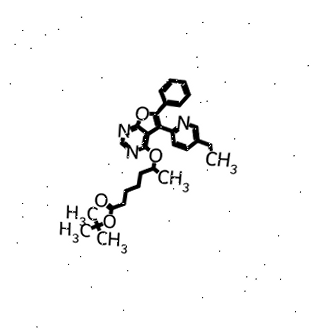 CCc1ccc(-c2c(-c3ccccc3)oc3ncnc(OC(C)CCCCC(=O)OC(C)(C)C)c23)nc1